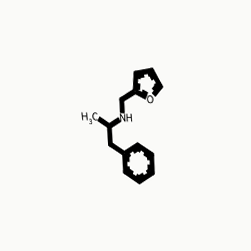 CC(Cc1ccccc1)NCc1ccco1